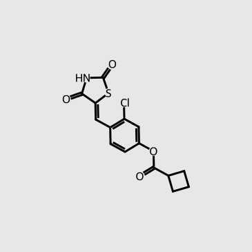 O=C1NC(=O)C(=Cc2ccc(OC(=O)C3CCC3)cc2Cl)S1